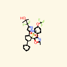 Cc1nc(-c2ccc(OC(F)(F)F)cc2)c(C2(S(C)(=O)=O)CC(c3ccccc3)=CC=C2c2cc(C(F)(F)C(C)(C)O)nn2C)o1